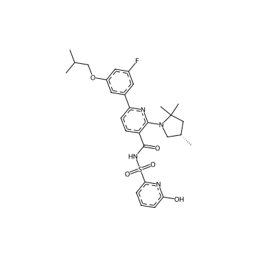 CC(C)COc1cc(F)cc(-c2ccc(C(=O)NS(=O)(=O)c3cccc(O)n3)c(N3C[C@@H](C)CC3(C)C)n2)c1